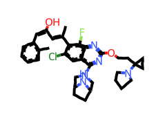 C/C(=C\C(O)=C/c1ccccc1C)c1c(Cl)cc2c(N3CC4CCC(C3)N4)nc(OCCC3(N4CCCC4)CC3)nc2c1F